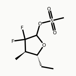 CC[C@H]1OC(OS(C)(=O)=O)C(F)(F)[C@@H]1C